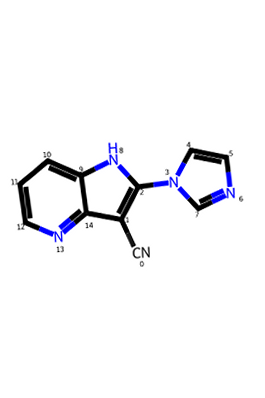 N#Cc1c(-n2ccnc2)[nH]c2cccnc12